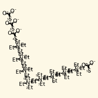 CC[N+](CC)(CC)CC.CC[N+](CC)(CC)CC.CC[N+](CC)(CC)CC.CC[N+](CC)(CC)CC.CC[N+](CC)(CC)CC.CC[N+](CC)(CC)CC.CC[N+](CC)(CC)CC.CC[N+](CC)(CC)CC.[O-]C([O-])=S.[O-]C([O-])=S.[O-]C([O-])=S.[O-]C([O-])=S